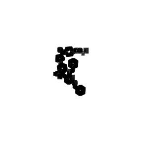 Cn1nc(-c2ccc(OCc3ccccc3)nc2OCc2ccccc2)c2ccc(N3CC[C@@H](C(=O)N4CCN(C(=O)O)CC4)C3)cc21